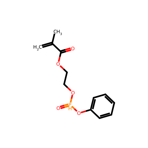 C=C(C)C(=O)OCCO[PH](=O)Oc1ccccc1